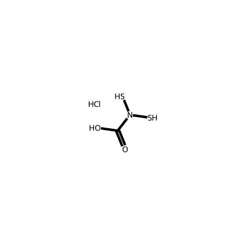 Cl.O=C(O)N(S)S